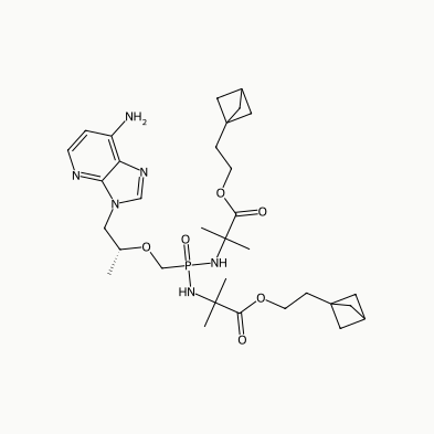 C[C@H](Cn1cnc2c(N)ccnc21)OCP(=O)(NC(C)(C)C(=O)OCCC12CC(C1)C2)NC(C)(C)C(=O)OCCC12CC(C1)C2